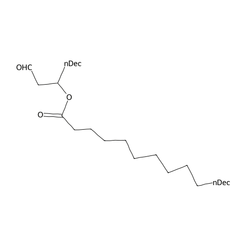 CCCCCCCCCCCCCCCCCCCC(=O)OC(CC=O)CCCCCCCCCC